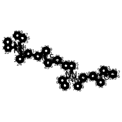 c1ccc2c(-c3nc(-c4cccc5ccccc45)nc(-n4c5ccccc5c5cc(-c6ccc7c(c6)c6ccccc6n7-c6cccc7c6sc6ccc(-c8ccc9c(-c%10nc(-c%11cccc%12ccccc%11%12)nc(-n%11c%12ccccc%12c%12cc(-c%13ccc%14c(c%13)c%13ccccc%13n%14-c%13cccc%14c%13oc%13ccccc%13%14)ccc%12%11)n%10)cccc9c8)cc67)ccc54)n3)cccc2c1